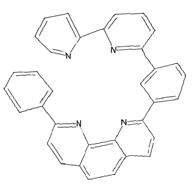 c1ccc(-c2ccc3ccc4ccc(-c5cccc(-c6cccc(-c7ccccn7)n6)c5)nc4c3n2)cc1